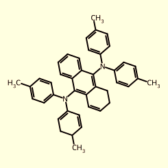 Cc1ccc(N(C2=CCC(C)C=C2)c2c3c(c(N(c4ccc(C)cc4)c4ccc(C)cc4)c4ccccc24)CCC=C3)cc1